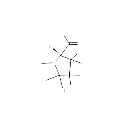 [2H]N1C([2H])([2H])C([2H])([2H])C([2H])([2H])[C@@]1([2H])C(=O)O